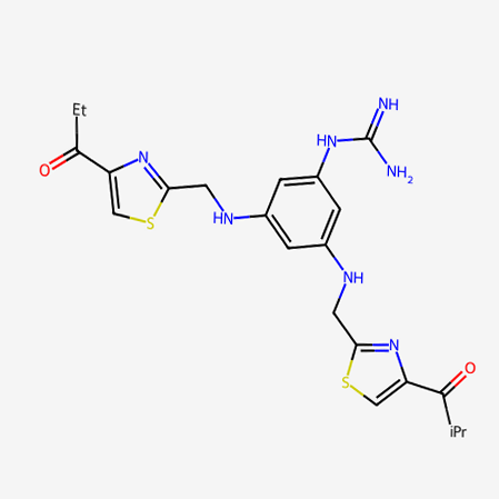 CCC(=O)c1csc(CNc2cc(NCc3nc(C(=O)C(C)C)cs3)cc(NC(=N)N)c2)n1